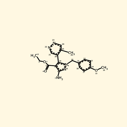 CCOC(=O)c1c(N)nn(Cc2ccc(OC)cc2)c1-c1cnncc1C